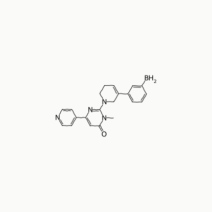 Bc1cccc(C2=CCCN(c3nc(-c4ccncc4)cc(=O)n3C)C2)c1